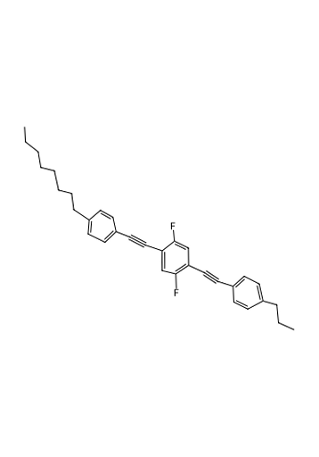 CCCCCCCCc1ccc(C#Cc2cc(F)c(C#Cc3ccc(CCC)cc3)cc2F)cc1